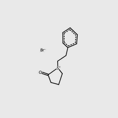 O=C1CCC[S+]1CCc1ccccc1.[Br-]